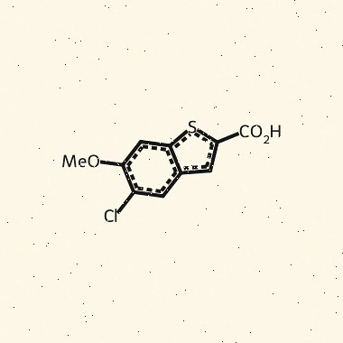 COc1cc2sc(C(=O)O)cc2cc1Cl